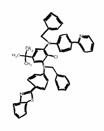 CC(C)(C)c1cc(N(Cc2ccccc2)c2ccc(-c3ccccn3)cc2)c(Cl)c(N(Cc2ccccc2)c2ccc(-c3nc4ccccc4s3)cc2)c1